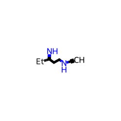 C#CNCCC(=N)CC